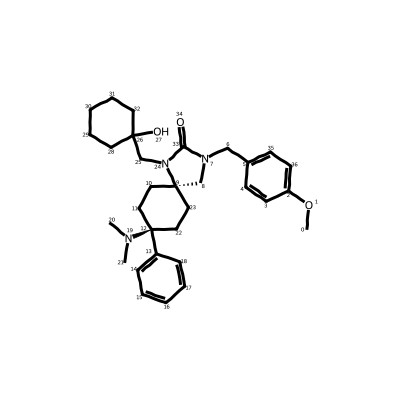 COc1ccc(CN2C[C@]3(CC[C@](c4ccccc4)(N(C)C)CC3)N(CC3(O)CCCCC3)C2=O)cc1